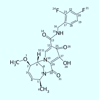 CO[C@@H]1C=C[C@H](C)N2C[C@H]1n1cc(C(=O)NCc3ccc(F)cc3F)c(=O)c(O)c1C2=O